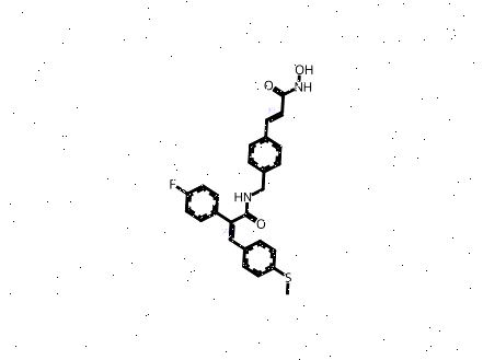 CSc1ccc(/C=C(\C(=O)NCc2ccc(/C=C/C(=O)NO)cc2)c2ccc(F)cc2)cc1